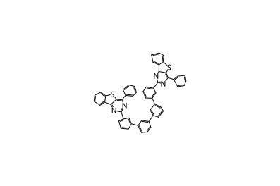 c1ccc(-c2nc(-c3cccc(-c4cccc(-c5cccc(-c6cccc(-c7nc(-c8ccccc8)c8sc9ccccc9c8n7)c6)c5)c4)c3)nc3c2sc2ccccc23)cc1